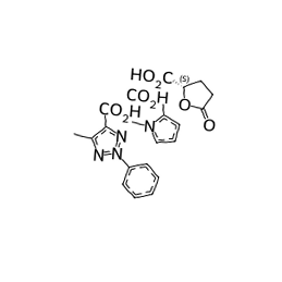 Cc1nn(-c2ccccc2)nc1C(=O)O.Cn1cccc1C(=O)O.O=C1CC[C@@H](C(=O)O)O1